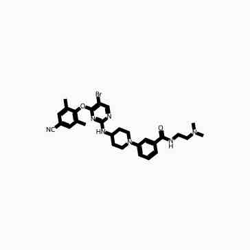 Cc1cc(C#N)cc(C)c1Oc1nc(NC2CCN(c3cccc(C(=O)NCCN(C)C)c3)CC2)ncc1Br